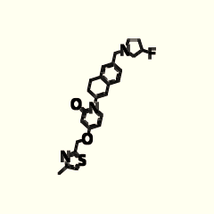 Cc1csc(COc2ccn(C3=Cc4ccc(CN5CCC(F)C5)cc4CC3)c(=O)c2)n1